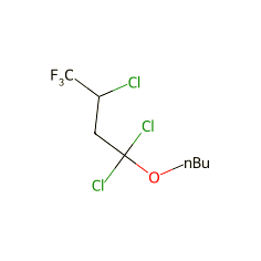 CCCCOC(Cl)(Cl)CC(Cl)C(F)(F)F